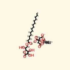 CCCCCCCCCCCCCCCC(=O)OC[C@H](O)[C@H]1OC(=O)C(O)=C1O.O=C([O-])CC(O)(CC(=O)[O-])C(=O)[O-].[Na+].[Na+].[Na+]